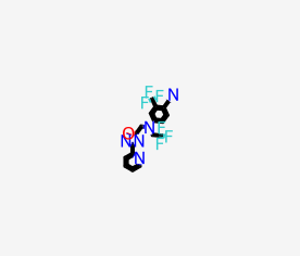 N#Cc1ccc(N(Cc2nc(-c3ccccn3)no2)CC(F)(F)F)cc1C(F)(F)F